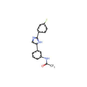 O=C(Nc1cccc(-c2cnc(-c3ccc(F)cc3)[nH]2)c1)C(F)(F)F